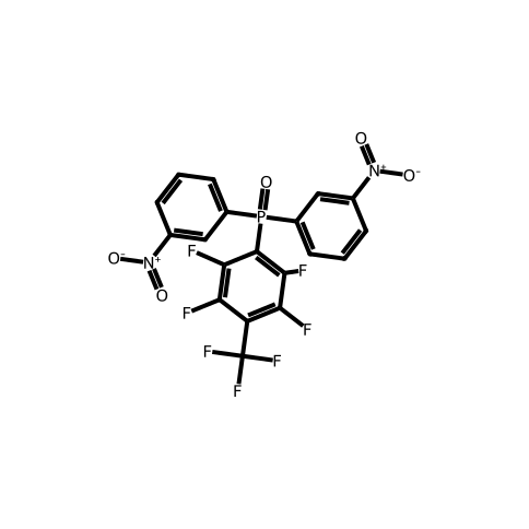 O=[N+]([O-])c1cccc(P(=O)(c2cccc([N+](=O)[O-])c2)c2c(F)c(F)c(C(F)(F)F)c(F)c2F)c1